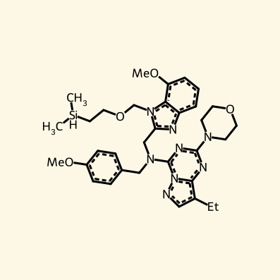 CCc1cnn2c(N(Cc3ccc(OC)cc3)Cc3nc4cccc(OC)c4n3COCC[SiH](C)C)nc(N3CCOCC3)nc12